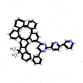 CC1(C)c2ccccc2-c2cc3c4cc(-c5cc(-c6ccccc6)nc(-c6ccc(-c7cccnc7)nc6)n5)ccc4c4ccccc4c4ccccc4c4ccccc4c3cc21